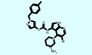 Cc1ccc(Cn2cc(OC(=O)Nc3c[nH]c4ncc(Br)c(N5CCC[C@@H](N)C5)c34)cn2)cc1